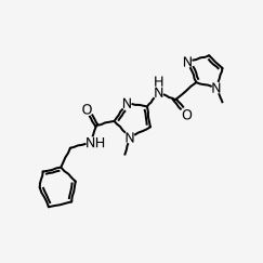 Cn1cc(NC(=O)c2nccn2C)nc1C(=O)NCc1ccccc1